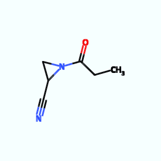 CCC(=O)N1CC1C#N